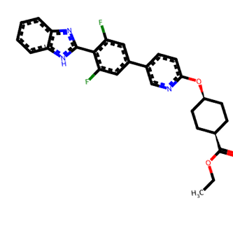 CCOC(=O)[C@H]1CC[C@@H](Oc2ccc(-c3cc(F)c(-c4nc5ccccc5[nH]4)c(F)c3)cn2)CC1